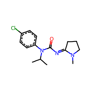 CC(C)N(C(=O)N=C1CCCN1C)c1ccc(Cl)cc1